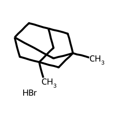 Br.CC12CC3CC(C1)CC(C)(C3)C2